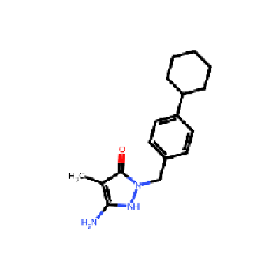 Cc1c(N)[nH]n(Cc2ccc(C3CCCCC3)cc2)c1=O